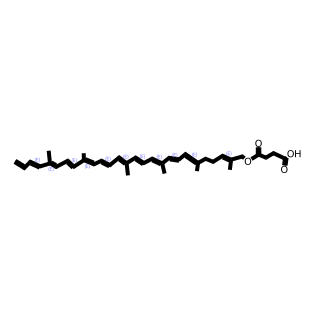 C=C/C=C/C(C)=C/C=C/C(C)=C/C=C/C=C(C)/C=C/C=C(C)/C=C/C=C(\C)CC/C=C(\C)COC(=O)CCC(=O)O